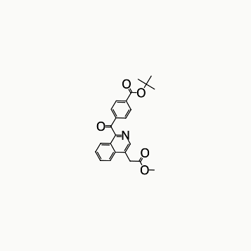 COC(=O)Cc1cnc(C(=O)c2ccc(C(=O)OC(C)(C)C)cc2)c2ccccc12